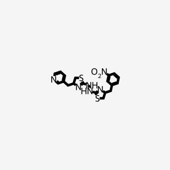 O=[N+]([O-])c1cccc(CC2CSC(NNC3=NC(Cc4cccnc4)CS3)=N2)c1